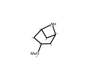 COC1CC2CC(C1)N2